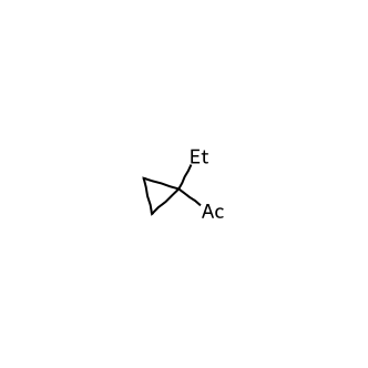 [CH2]CC1(C(C)=O)CC1